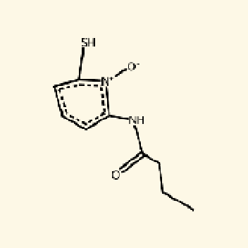 CCCC(=O)Nc1cccc(S)[n+]1[O-]